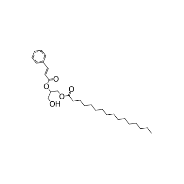 CCCCCCCCCCCCCCCC(=O)OCC(CO)OC(=O)/C=C/c1ccccc1